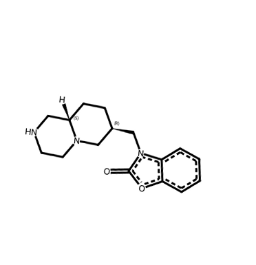 O=c1oc2ccccc2n1C[C@@H]1CC[C@H]2CNCCN2C1